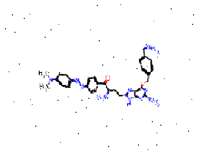 CN(C)c1ccc(N=Nc2ccc(C(=O)C(N)CCc3nc4c(OCc5ccc(CN)cc5)nc(N)nc4[nH]3)cc2)cc1